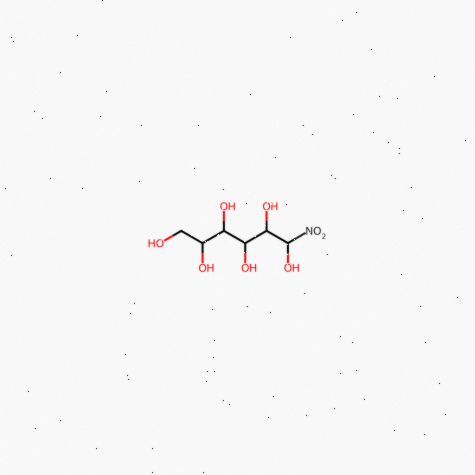 O=[N+]([O-])C(O)C(O)C(O)C(O)C(O)CO